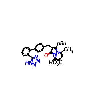 CCCCc1c(Cc2ccc(-c3ccccc3-c3nnn[nH]3)cc2)c(=O)n2c(C(=O)O)ccc(C)n12